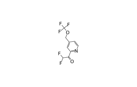 O=C(c1cc(COC(F)(F)F)ccn1)C(F)F